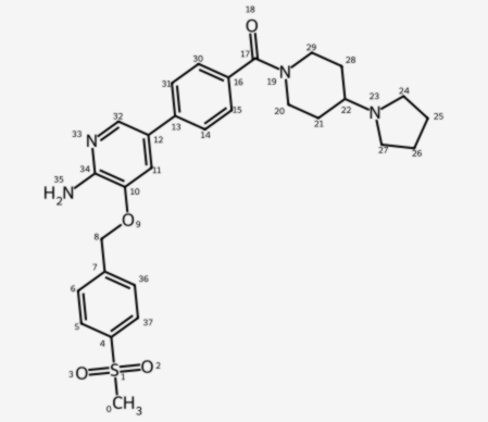 CS(=O)(=O)c1ccc(COc2cc(-c3ccc(C(=O)N4CCC(N5CCCC5)CC4)cc3)cnc2N)cc1